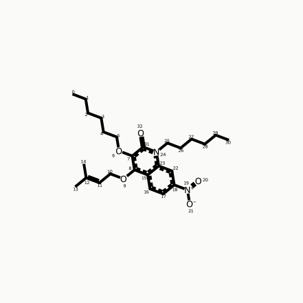 CCCCCCOc1c(OCC=C(C)C)c2ccc([N+](=O)[O-])cc2n(CCCCCC)c1=O